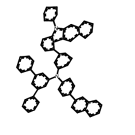 c1ccc(-c2cc(-c3ccccc3)cc(N(c3ccc(-c4ccc5ccccc5c4)cc3)c3cccc(-c4cccc5c4c4cc6ccccc6cc4n5-c4ccccc4)c3)c2)cc1